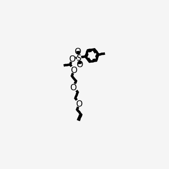 C=CCOCCOCCOC(C)OS(=O)(=O)c1ccc(C)cc1